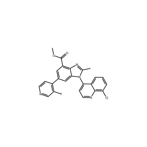 COC(=O)c1cc(-c2ccncc2F)cc2c1nc(C)n2-c1ccnc2c(Cl)cccc12